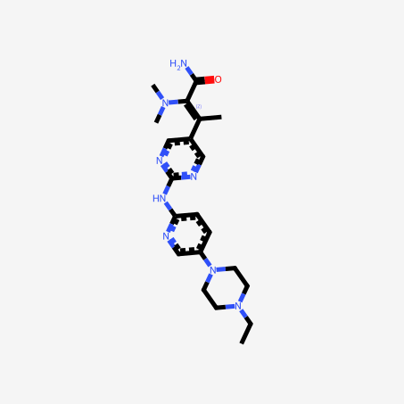 CCN1CCN(c2ccc(Nc3ncc(/C(C)=C(/C(N)=O)N(C)C)cn3)nc2)CC1